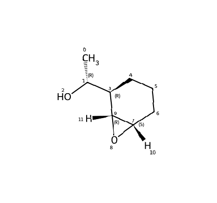 C[C@@H](O)[C@H]1CCC[C@@H]2O[C@H]12